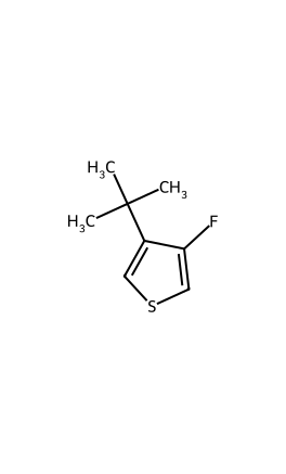 CC(C)(C)c1cscc1F